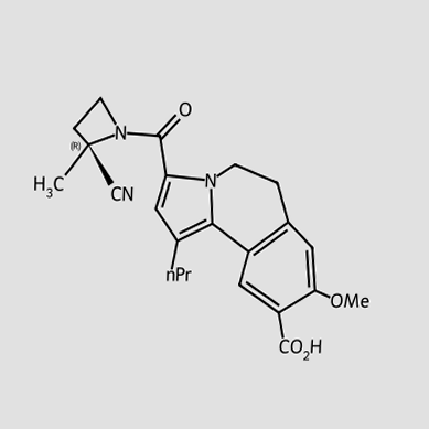 CCCc1cc(C(=O)N2CC[C@]2(C)C#N)n2c1-c1cc(C(=O)O)c(OC)cc1CC2